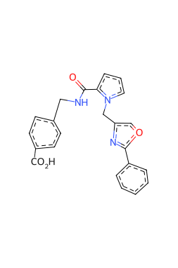 O=C(O)c1ccc(CNC(=O)c2cccn2Cc2coc(-c3ccccc3)n2)cc1